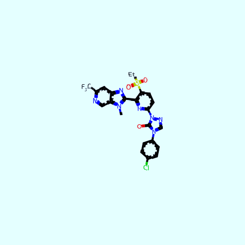 CCS(=O)(=O)c1ccc(-n2ncn(-c3ccc(Cl)cc3)c2=O)nc1-c1nc2cc(C(F)(F)F)ncc2n1C